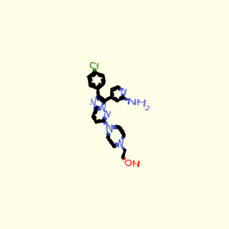 Nc1cc(-c2c(-c3ccc(Cl)cc3)nc3ccc(N4CCN(CCO)CC4)nn23)ccn1